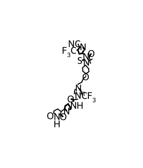 CC1(C)C(=O)N(c2cnc(C#N)c(C(F)(F)F)c2)C(=S)N1[C@H]1CC[C@H](OCCCN2CCN(CC(=O)Nc3ccc(C4CCC(=O)NC4=O)nc3)[C@@H](C(F)(F)F)C2)CC1